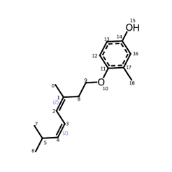 C/C(=C/C=C\C(C)C)CCOc1ccc(O)cc1C